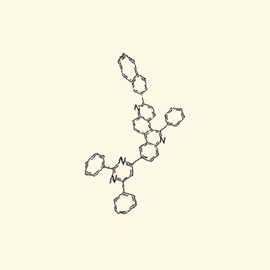 c1ccc(-c2cc(-c3ccc4nc(-c5ccccc5)c5c6ccc(-c7ccc8ccccc8c7)nc6ccc5c4c3)nc(-c3ccccc3)n2)cc1